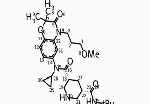 COCCCN1C(=O)C(C)(C)Oc2ccc(N(C(=O)[C@H]3CNC[C@@H](C(=O)NC(C)(C)C)C3)C3CC3)cc21